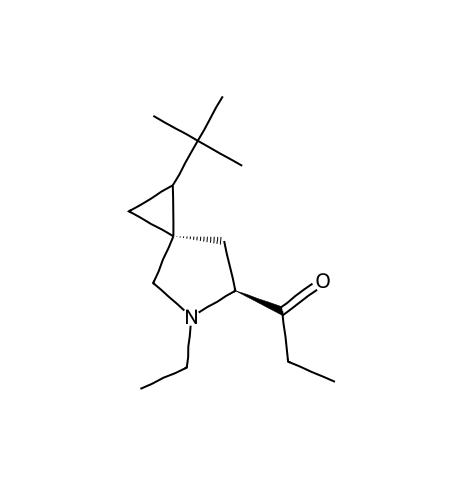 CCC(=O)[C@@H]1C[C@@]2(CC2C(C)(C)C)CN1CC